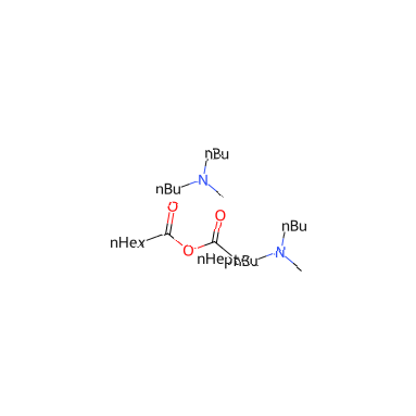 CCCCCCCC(=O)OC(=O)CCCCCC.CCCCN(C)CCCC.CCCCN(C)CCCC